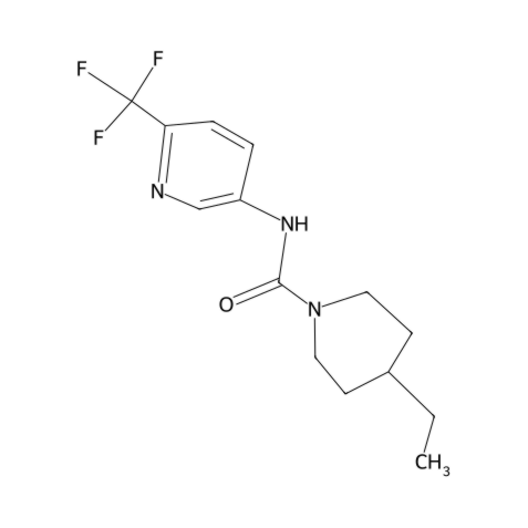 CCC1CCN(C(=O)Nc2ccc(C(F)(F)F)nc2)CC1